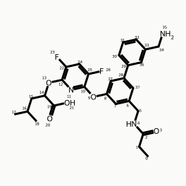 CCC(=O)NCc1cc(Oc2nc(OC(CC(C)C)C(=O)O)c(F)cc2F)cc(-c2cccc(CN)c2)c1